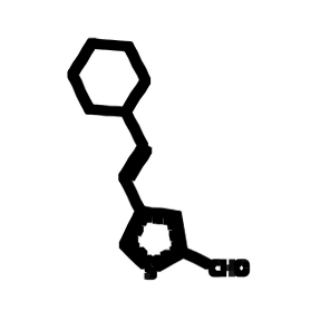 O=Cc1cc(/C=C/C2CCCCC2)cs1